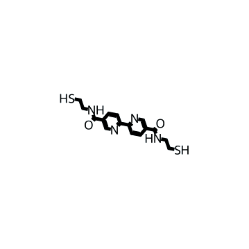 O=C(NCCS)c1ccc(-c2ccc(C(=O)NCCS)cn2)nc1